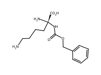 NCCCC[C@](N)(NC(=O)OCc1ccccc1)C(=O)O